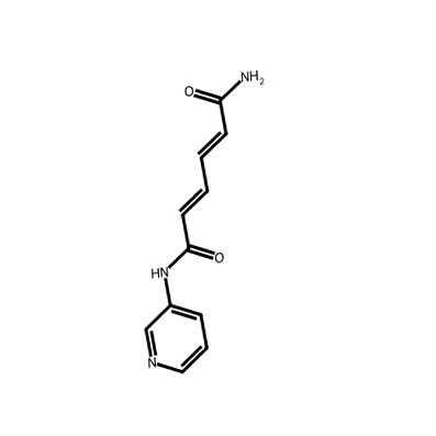 NC(=O)C=CC=CC(=O)Nc1cccnc1